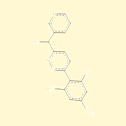 Cc1cc(C)c(-c2ccc(C(O)c3cccnc3)nn2)c(O)c1